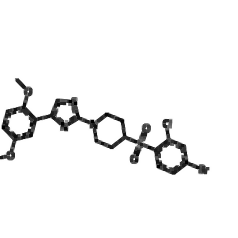 COc1ccc(OC)c(-c2csc(N3CCC(S(=O)(=O)c4ccc(Br)cc4Cl)CC3)n2)c1